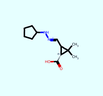 CC1(C)C(/C=N/NC2CCCC2)[C@H]1C(=O)O